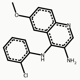 COc1ccc2ncc(N)c(Nc3ccccc3Cl)c2c1